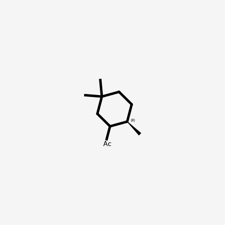 CC(=O)C1CC(C)(C)CC[C@H]1C